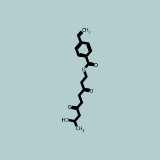 C=Cc1ccc(C(=O)OCCC(=O)CCC(=O)CC(C)O)cc1